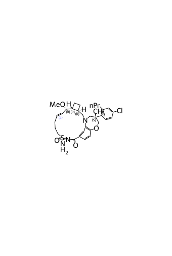 CCCc1cc(Cl)ccc1[C@]1(C)COc2ccc3cc2N(C[C@@H]2CC[C@H]2[C@@H](OC)/C=C/CCC[S@@](N)(=O)=NC3=O)C1